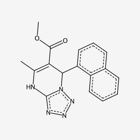 COC(=O)C1=C(C)Nc2nnnn2C1c1cccc2ccccc12